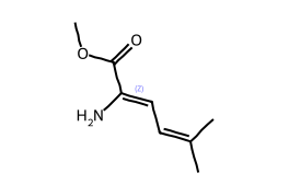 COC(=O)/C(N)=C/C=C(C)C